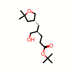 CC(C)(C)OC(=O)CC[C@@H](CO)C[C@H]1COC(C)(C)C1